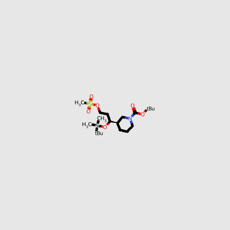 CC(C)(C)OC(=O)N1CCC[C@@H](C(CCOS(C)(=O)=O)O[Si](C)(C)C(C)(C)C)C1